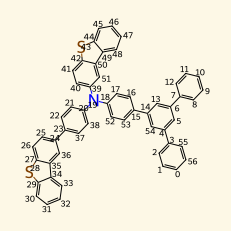 c1ccc(-c2cc(-c3ccccc3)cc(-c3ccc(N(c4ccc(-c5ccc6sc7ccccc7c6c5)cc4)c4ccc5sc6ccccc6c5c4)cc3)c2)cc1